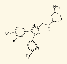 N#Cc1ccc(-c2nn(CC(=O)N3CCCC(N)C3)cc2-c2ccc(C(F)(F)F)nc2)cc1F